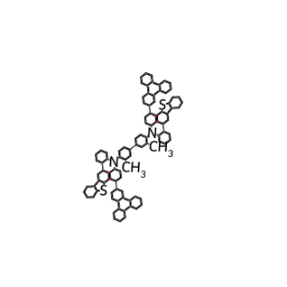 Cc1cc(-c2ccc(N(c3ccc(-c4ccc5c6ccccc6c6ccccc6c5c4)cc3)c3ccccc3-c3ccc4sc5ccccc5c4c3)c(C)c2)ccc1N(c1ccc(-c2ccc3c4ccccc4c4ccccc4c3c2)cc1)c1ccccc1-c1ccc2sc3ccccc3c2c1